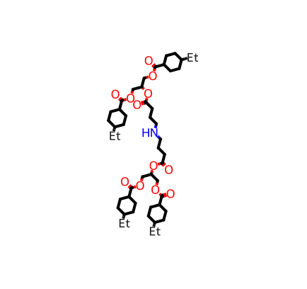 CCC1CCC(C(=O)OCC(COC(=O)C2CCC(CC)CC2)OC(=O)CCCNCCCC(=O)OC(COC(=O)C2CCC(CC)CC2)COC(=O)C2CCC(CC)CC2)CC1